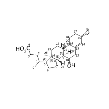 CC(CCC(=O)O)[C@H]1CC[C@H]2[C@@H]3C(O)CC4=CC(=O)CC[C@]4(C)[C@H]3CC[C@]12C